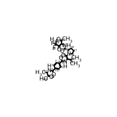 CC(NC(=O)c1ccc(C(=O)NC(C(=O)N2CCC[C@H]2C(=O)NC(C(=O)C(F)(F)F)C(C)C)C(C)C)cc1)C(=O)O